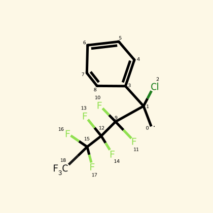 [CH2]C(Cl)(c1ccccc1)C(F)(F)C(F)(F)C(F)(F)C(F)(F)F